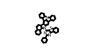 c1ccc(-c2nc(-n3c4cc5c6ccccc6n6c7ccccc7c(c4c4ccc7ccccc7c43)c56)c3sc4ccccc4c3n2)cc1